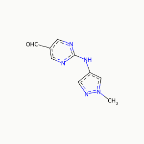 Cn1cc(Nc2ncc(C=O)cn2)cn1